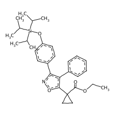 CCOC(=O)C1(c2onc(-c3ccc(O[Si](C(C)C)(C(C)C)C(C)C)cc3)c2-c2ccccc2)CC1